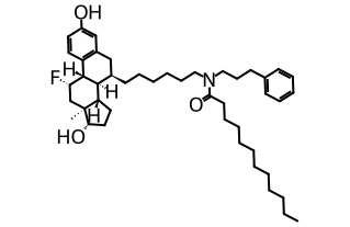 CCCCCCCCCCCC(=O)N(CCCCCC[C@@H]1Cc2cc(O)ccc2[C@@H]2[C@@H]1[C@@H]1CC[C@H](O)[C@@]1(C)C[C@@H]2F)CCCc1ccccc1